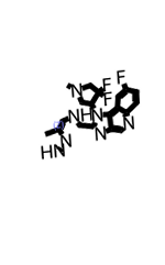 C/C(=C/NCc1nc2cnc3ccc(F)cc3c2n1C1CN(C)CC1(F)F)N=N